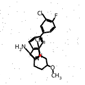 COC1CCC23Cc4ccc(-c5ccc(F)c(Cl)c5)cc4C2(C1)CN(C)C(N)=N3